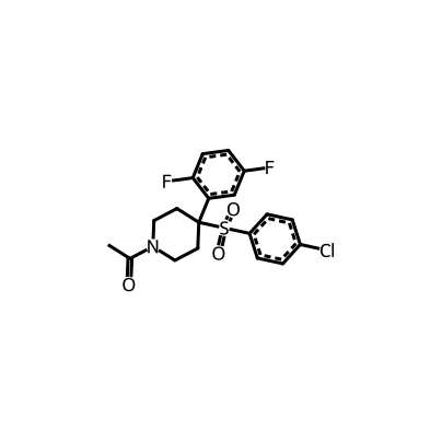 CC(=O)N1CCC(c2cc(F)ccc2F)(S(=O)(=O)c2ccc(Cl)cc2)CC1